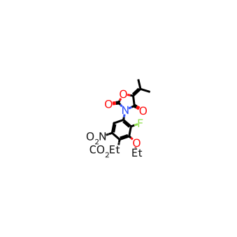 CCOC(=O)c1c([N+](=O)[O-])cc(N2C(=O)OC(=C(C)C)C2=O)c(F)c1OCC